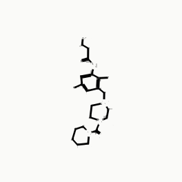 Cc1c(CN2CCN(C(=O)N3CCCCC3)[C@@H](C)C2)cc(Cl)cc1NC(=O)CCC(F)(F)F